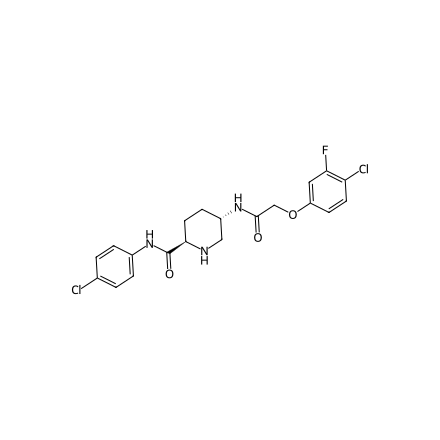 O=C(COc1ccc(Cl)c(F)c1)N[C@H]1CC[C@H](C(=O)Nc2ccc(Cl)cc2)NC1